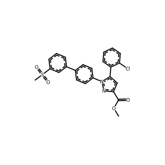 COC(=O)c1cc(-c2ccccc2Cl)n(-c2ccc(-c3cccc(S(C)(=O)=O)c3)cc2)n1